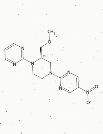 COC[C@H]1CN(c2ncc([N+](=O)[O-])cn2)CCN1c1ncccn1